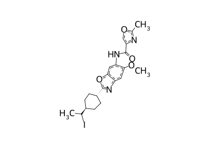 COc1cc2nc([C@H]3CC[C@H](C(C)I)CC3)oc2cc1NC(=O)c1coc(C)n1